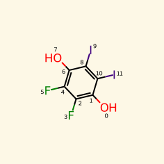 Oc1c(F)c(F)c(O)c(I)c1I